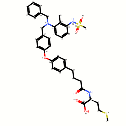 CSCC[C@H](NC(=O)CCCc1ccc(Oc2ccc(CN(Cc3ccccc3)c3cccc(NS(C)(=O)=O)c3C)cc2)cc1)C(=O)O